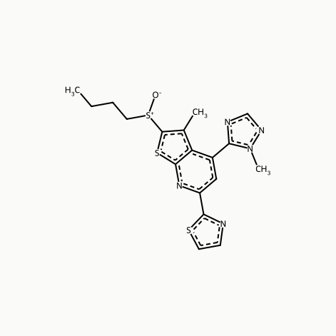 CCCC[S+]([O-])c1sc2nc(-c3nccs3)cc(-c3ncnn3C)c2c1C